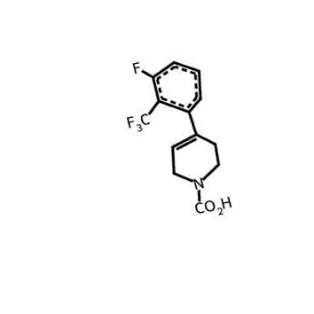 O=C(O)N1CC=C(c2cccc(F)c2C(F)(F)F)CC1